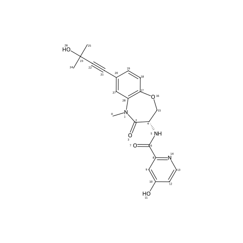 CN1C(=O)[C@@H](NC(=O)c2cc(O)ccn2)COc2ccc(C#CC(C)(C)O)cc21